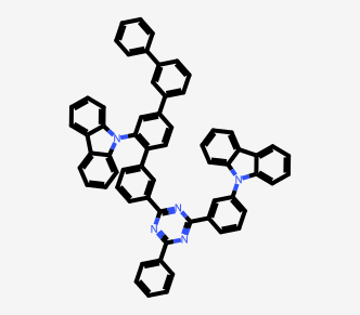 c1ccc(-c2cccc(-c3ccc(-c4cccc(-c5nc(-c6ccccc6)nc(-c6cccc(-n7c8ccccc8c8ccccc87)c6)n5)c4)c(-n4c5ccccc5c5ccccc54)c3)c2)cc1